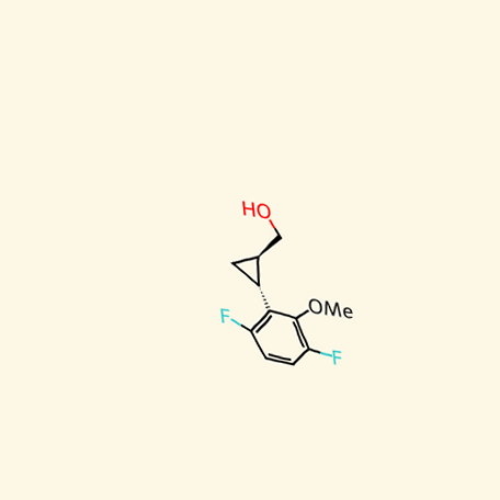 COc1c(F)ccc(F)c1[C@@H]1C[C@H]1CO